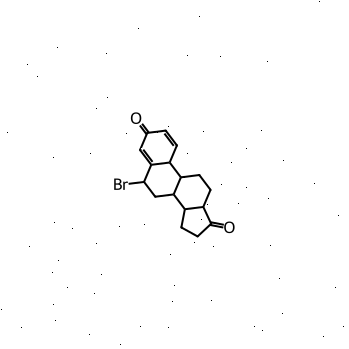 O=C1C=CC2C(=C1)C(Br)CC1C2CCC2C(=O)CCC21